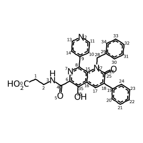 O=C(O)CCNC(=O)c1nc(-c2ccncc2)c2c(cc(-c3ccccc3)c(=O)n2Cc2ccccc2)c1O